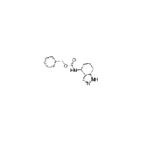 O=C(NC1CCCc2[nH]ncc21)OCc1ccccc1